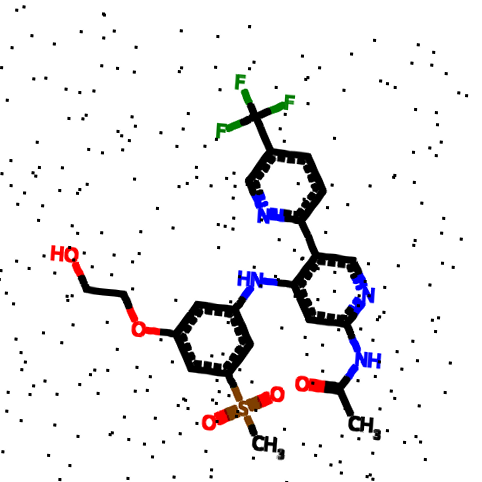 CC(=O)Nc1cc(Nc2cc(OCCO)cc(S(C)(=O)=O)c2)c(-c2ccc(C(F)(F)F)cn2)cn1